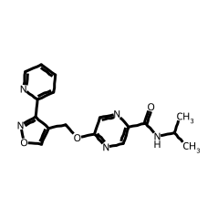 CC(C)NC(=O)c1cnc(OCc2conc2-c2ccccn2)cn1